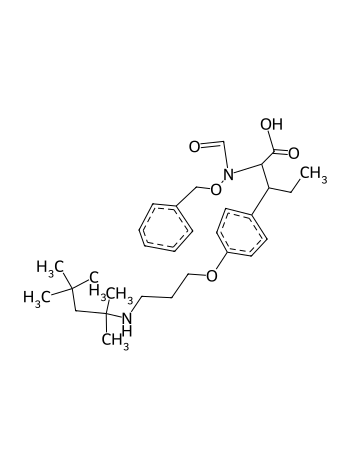 CCC(c1ccc(OCCCNC(C)(C)CC(C)(C)C)cc1)C(C(=O)O)N(C=O)OCc1ccccc1